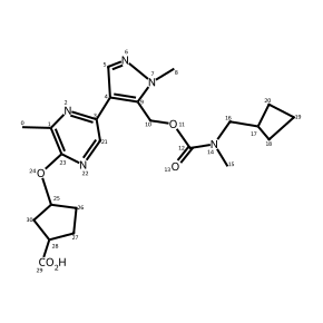 Cc1nc(-c2cnn(C)c2COC(=O)N(C)CC2CCC2)cnc1OC1CCC(C(=O)O)C1